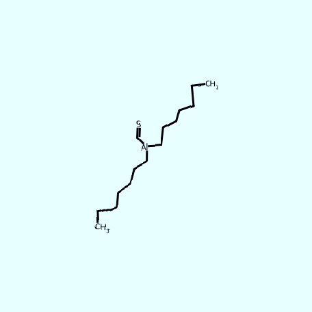 CCCCCC[CH2][Al]([CH]=S)[CH2]CCCCCC